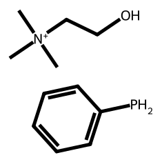 C[N+](C)(C)CCO.Pc1ccccc1